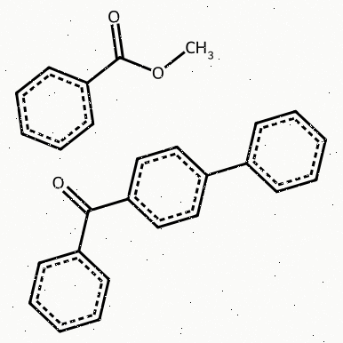 COC(=O)c1ccccc1.O=C(c1ccccc1)c1ccc(-c2ccccc2)cc1